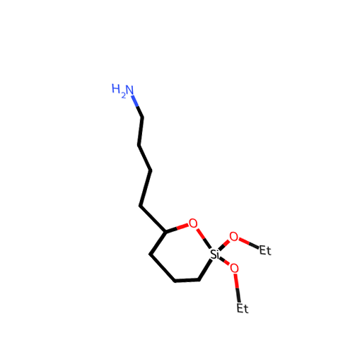 CCO[Si]1(OCC)CCCC(CCCCN)O1